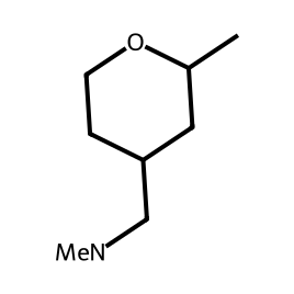 CNCC1CCOC(C)C1